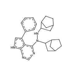 c1ccc(-c2c[nH]c3ncnc(N(NC4CC5CCC4C5)C4CC5CCC4C5)c23)cc1